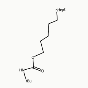 CCCCCCCCCCCCOC(=O)NC(C)(C)C